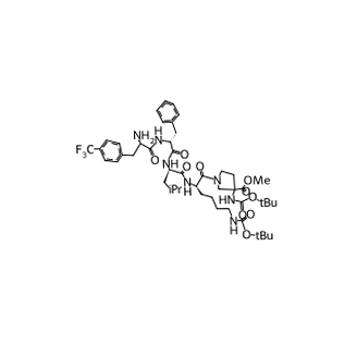 COC(=O)C1(NC(=O)OC(C)(C)C)CCN(C(=O)[C@@H](CCCCNC(=O)OC(C)(C)C)NC(=O)[C@@H](CC(C)C)NC(=O)[C@@H](Cc2ccccc2)NC(=O)[C@H](N)Cc2ccc(C(F)(F)F)cc2)C1